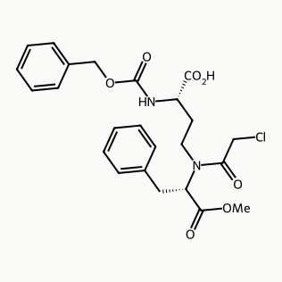 COC(=O)[C@H](Cc1ccccc1)N(CC[C@H](NC(=O)OCc1ccccc1)C(=O)O)C(=O)CCl